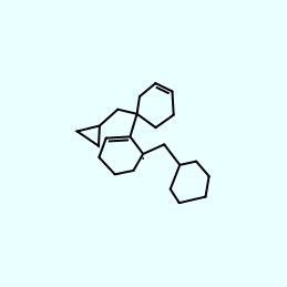 C1=CCC(CC2CC2)(C2=CCCC[C]2CC2CCCCC2)CC1